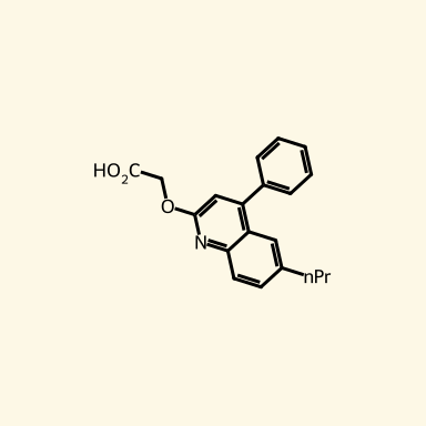 CCCc1ccc2nc(OCC(=O)O)cc(-c3ccccc3)c2c1